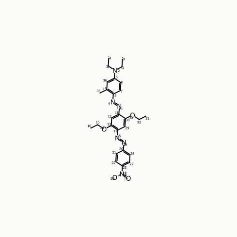 [CH2][CH]N([CH][CH2])c1ccc(/N=N/c2cc(OCC)c(/N=N/c3ccc([N+](=O)[O-])cc3)cc2OCC)c(C)c1